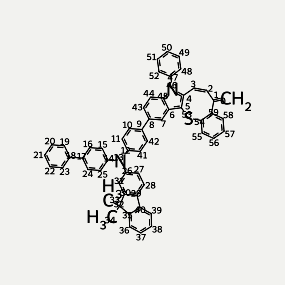 C=C1/C=C\c2c(c3cc(-c4ccc(N(c5ccc(-c6ccccc6)cc5)c5ccc6c(c5)C(C)(C)c5ccccc5-6)cc4)ccc3n2-c2ccccc2)Sc2ccccc21